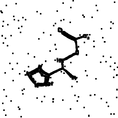 CC(C)[C@H](NOC(=O)C(F)(F)F)c1nnn[nH]1